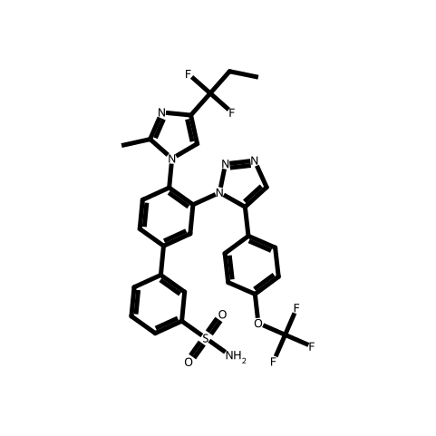 CCC(F)(F)c1cn(-c2ccc(-c3cccc(S(N)(=O)=O)c3)cc2-n2nncc2-c2ccc(OC(F)(F)F)cc2)c(C)n1